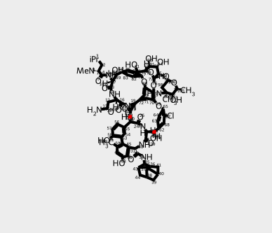 CN[C@H](CC(C)C)C(=O)N[C@H]1C(=O)N[C@@H](CC(N)=O)C(=O)N[C@H]2C(=O)N[C@H]3C(=O)N[C@H](C(=O)N[C@H](C(=O)NC4C5CC6CC(C5)CC4C6)c4cc(O)cc(C)c4-c4cc3ccc4O)[C@H](O)c3ccc(c(Cl)c3)Oc3cc2cc2c3O[C@@H]3O[C@H](C(O)c4cc(ccc4O2)[C@H]1O)[C@@H](O)[C@H](O)[C@H]3O[C@H]1C[C@](C)(N)[C@H](O)[C@H](C)O1